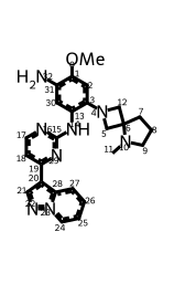 COc1cc(N2CC3(CCCN3C)C2)c(Nc2nccc(-c3cnn4ccccc34)n2)cc1N